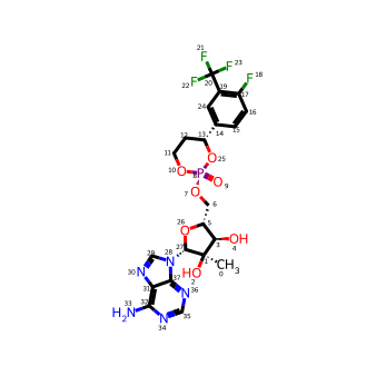 C[C@@]1(O)[C@H](O)[C@@H](CO[P@]2(=O)OCC[C@H](c3ccc(F)c(C(F)(F)F)c3)O2)O[C@H]1n1cnc2c(N)ncnc21